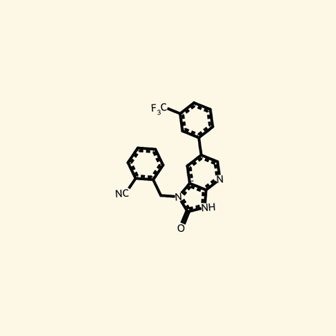 N#Cc1ccccc1Cn1c(=O)[nH]c2ncc(-c3cccc(C(F)(F)F)c3)cc21